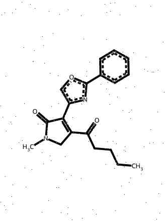 CCCCC(=O)C1=C(c2coc(-c3ccccc3)n2)C(=O)N(C)C1